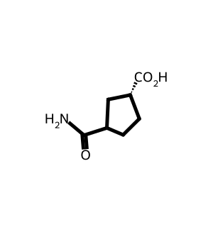 NC(=O)C1CC[C@@H](C(=O)O)C1